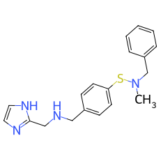 CN(Cc1ccccc1)Sc1ccc(CNCc2ncc[nH]2)cc1